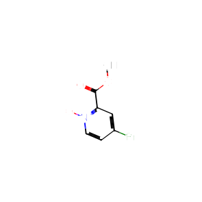 COC(=O)c1cc(Br)cc[n+]1[O-]